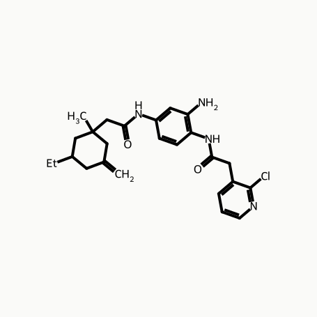 C=C1CC(CC)CC(C)(CC(=O)Nc2ccc(NC(=O)Cc3cccnc3Cl)c(N)c2)C1